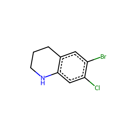 Clc1cc2c(cc1Br)CCCN2